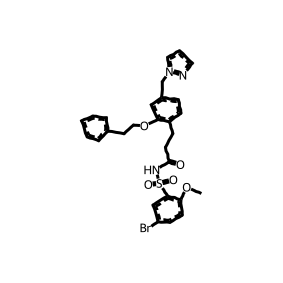 COc1ccc(Br)cc1S(=O)(=O)NC(=O)CCc1ccc(Cn2cccn2)cc1OCCc1ccccc1